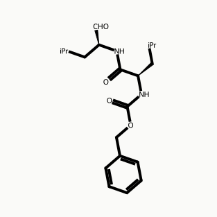 CC(C)C[C@@H](C=O)NC(=O)[C@@H](CC(C)C)NC(=O)OCc1ccccc1